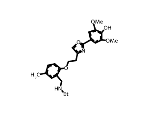 CCNCc1cc(C)ccc1OCCc1coc(-c2cc(OC)c(O)c(OC)c2)n1